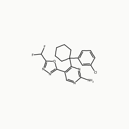 Nc1ncc(-c2nnc(C(F)F)o2)c(C2(c3cccc(Cl)c3)CCCCC2)n1